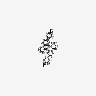 Fc1ccc(-c2ccc3c4ccccc4c4c5cc(-c6ccc(F)cc6)ccc5c5c(c4c3c2)C=CCC5)cc1